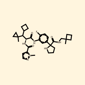 Cn1nccc1C(=O)N[C@H](C(=O)Nc1cc(C2(C(=O)NCC3(C)CCC3)CCCN2)ccc1F)C(C1CCC1)C1(C)CC1